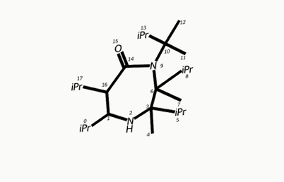 CC(C)C1NC(C)(C(C)C)C(C)(C(C)C)N(C(C)(C)C(C)C)C(=O)C1C(C)C